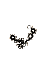 CC(O)C1NN(CCCN2CCN(c3cccc(Cl)c3)CC2)C[N+]1([O-])CCOc1ccccc1